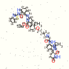 Cc1c(OCCC[C@@H]2CCN(CC(=O)Nc3cccc4c(C5CCC(=O)NC5=O)nn(C)c34)C2)cccc1-c1ccc(N2CCc3cccc(C(=O)Nc4nc5ccccc5s4)c3C2)nc1C(=O)OC(C)(C)C